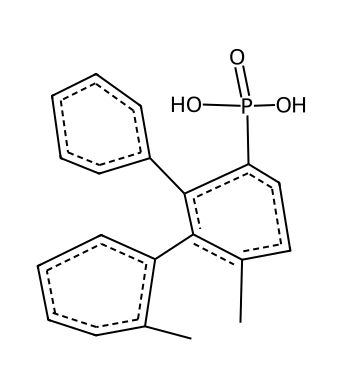 Cc1ccccc1-c1c(C)ccc(P(=O)(O)O)c1-c1ccccc1